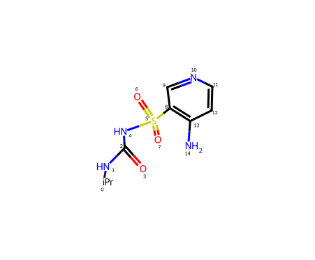 CC(C)NC(=O)NS(=O)(=O)c1cnccc1N